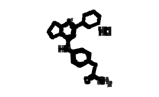 Cl.NC(=O)Cc1ccc(Nc2cc(C3CCCCC3)nc3c2CCC3)cc1